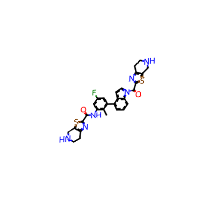 Cc1c(NC(=O)c2nc3c(s2)CNCC3)cc(F)cc1-c1cccc2c1ccn2C(=O)c1nc2c(s1)CNCC2